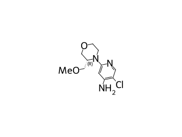 COC[C@@H]1COCCN1c1cc(N)c(Cl)cn1